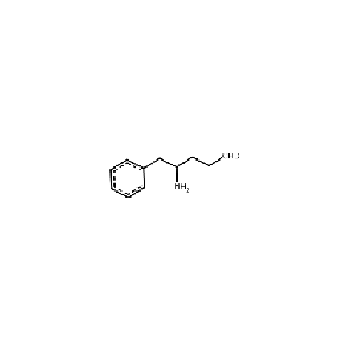 N[C@H](CCC=O)Cc1ccccc1